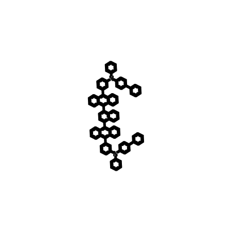 c1ccc(-c2ccc(N(c3ccccc3)c3cccc(-c4c5ccccc5c(-c5ccc(-c6c7ccccc7c(-c7cccc(N(c8ccccc8)c8ccc(-c9ccccc9)cc8)c7)c7ccccc67)c6ccccc56)c5ccccc45)c3)cc2)cc1